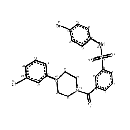 O=C(c1cccc(S(=O)(=O)Nc2ccc(Br)cc2)c1)N1CCN(c2cccc(Cl)c2)CC1